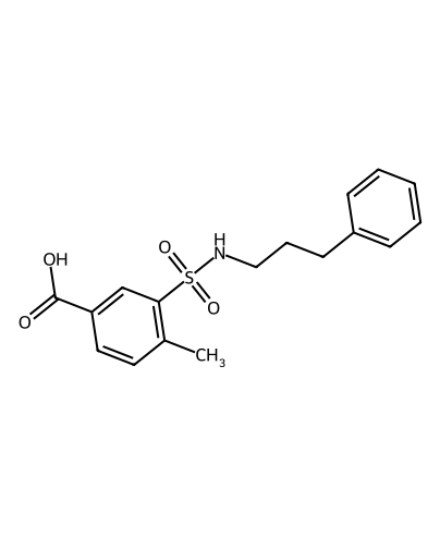 Cc1ccc(C(=O)O)cc1S(=O)(=O)NCCCc1ccccc1